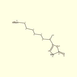 CCCCCCCCCCCCCCCC(C)c1c[nH]c(=O)o1